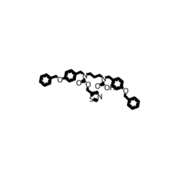 O=C(O)N(CCCN(Cc1ccc(OCc2ccccc2)cc1)C(=O)OCc1cncs1)Cc1ccc(OCc2ccccc2)cc1